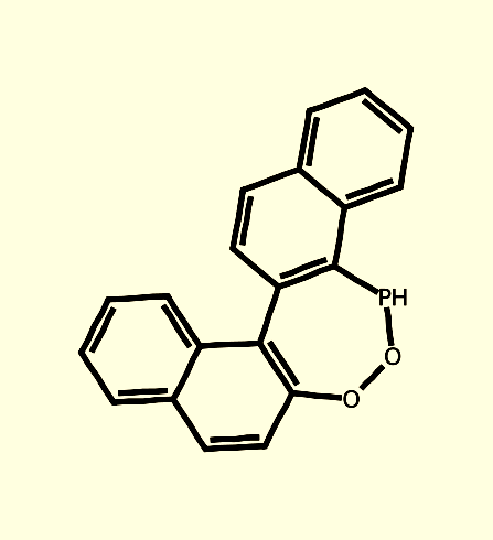 c1ccc2c(c1)ccc1c2[pH]ooc2ccc3ccccc3c21